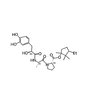 CCC1CCC(C)(OC(=O)[C@@H]2CCCN2C(=O)[C@H](C)NC(=O)[C@@H](O)Cc2ccc(O)c(O)c2)C1(C)C